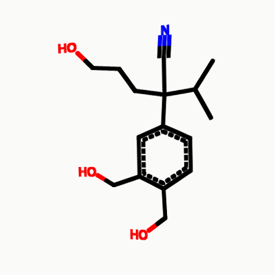 CC(C)C(C#N)(CCCO)c1ccc(CO)c(CO)c1